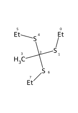 CCSC(C)(SCC)SCC